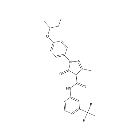 CCC(C)Oc1ccc(N2N=C(C)C(C(=O)Nc3cccc(C(C)(F)F)c3)C2=O)cc1